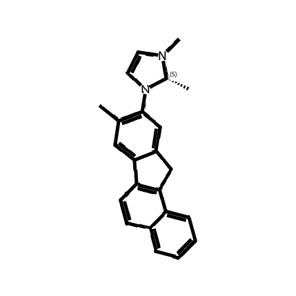 Cc1cc2c(cc1N1C=CN(C)[C@@H]1C)Cc1c-2ccc2ccccc12